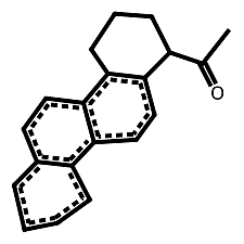 CC(=O)C1CCCc2c1ccc1c2ccc2ccccc21